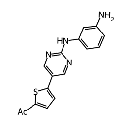 CC(=O)c1ccc(-c2cnc(Nc3cccc(N)c3)nc2)s1